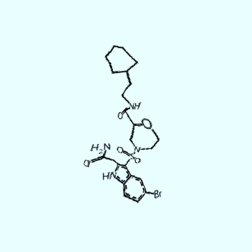 NC(=O)c1[nH]c2ccc(Br)cc2c1S(=O)(=O)N1CCOC(C(=O)NCCC2CCCCC2)C1